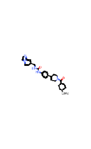 COC1CCC(C(=O)N2CCC(c3ccc(NC(=O)NCc4ccn5ccnc5c4)cc3)CC2)CC1